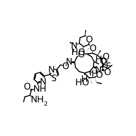 CCC(=O)/N=C1\[C@H](C)C[C@@]2(C)OC/C(=N/OCc3csc(-c4cccc(NC(=O)[C@@H](N)CC)n4)n3)CC[C@H]([C@H]1C)[C@](C)(O)[C@@H](CC)OC(=O)[C@@](C)(F)C(=O)[C@H](C)[C@H]2O[C@@H]1O[C@H](C)C[C@H](N(C)C)[C@H]1O